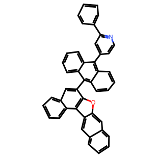 c1ccc(-c2cc(-c3c4ccccc4c(-c4cc5ccccc5c5c4oc4cc6ccccc6cc45)c4ccccc34)ccn2)cc1